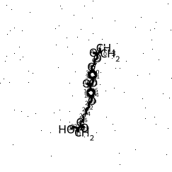 C=C(C)C(=O)OCCOc1ccc(OC(=O)c2ccc(OCCCCCCOC(=O)C(=C)CO)cc2)cc1